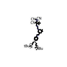 [C-]#[N+]C1=C(/C=C/C=C2C=C(/C=C/c3ccc(N(CCO[Si](C)(C)C(C)(C)C)CCO[Si](C)(C)C(C)(C)C)cc3)CC(C)(C)C/2)C(C)(C)O/C1=C(\C#N)[N+]#[C-]